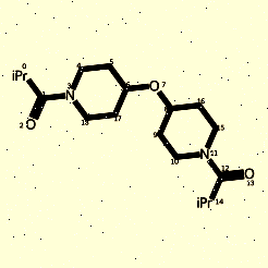 CC(C)C(=O)N1CCC(OC2CCN(C(=O)C(C)C)CC2)CC1